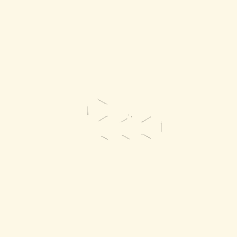 O=Cc1cc2ccccc2nc1-c1ccc(F)cc1